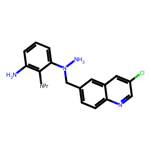 CCCc1c(N)cccc1N(N)Cc1ccc2ncc(Cl)cc2c1